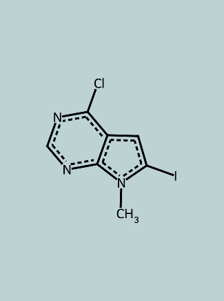 Cn1c(I)cc2c(Cl)ncnc21